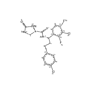 O=C1NCC(C(=O)NC(CCc2ccc(Cl)cc2)c2ccc(F)c(Cl)c2F)N1